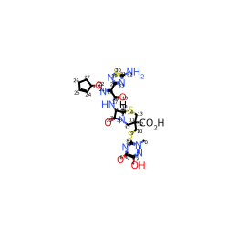 Cn1nc(O)c(=O)nc1SCC1(C(=O)O)CS[C@@H]2C(NC(=O)C(=NOC3C=CCC3)c3nsc(N)n3)C(=O)N2C1